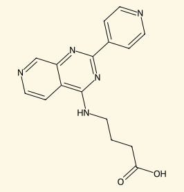 O=C(O)CCCNc1nc(-c2ccncc2)nc2cnccc12